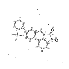 CC(C)(C)c1ccccc1-c1ccc2c(c1)cc1c3c(cccc32)C(=O)C1=O